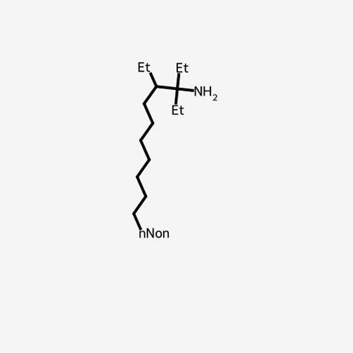 CCCCCCCCCCCCCCCCC(CC)C(N)(CC)CC